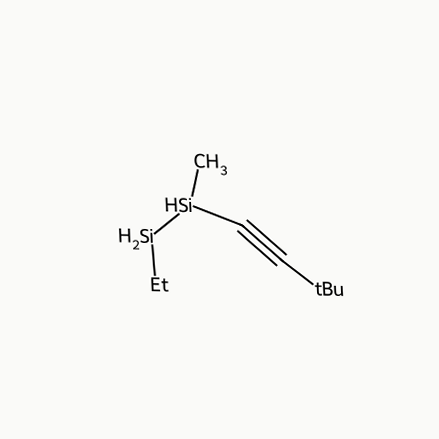 CC[SiH2][SiH](C)C#CC(C)(C)C